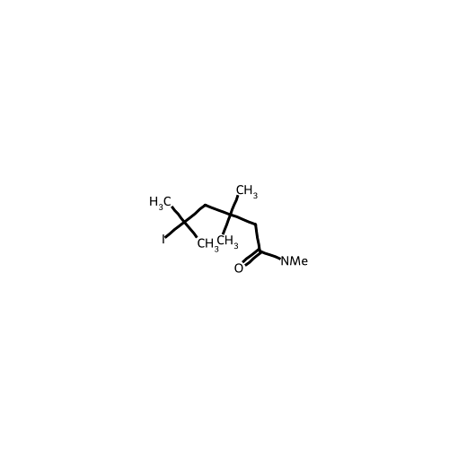 CNC(=O)CC(C)(C)CC(C)(C)I